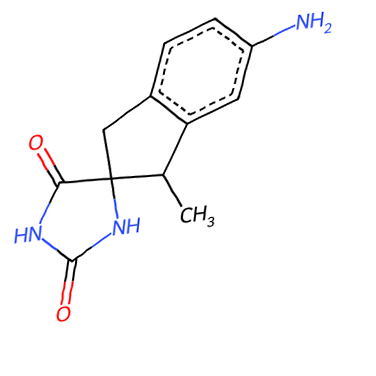 CC1c2cc(N)ccc2CC12NC(=O)NC2=O